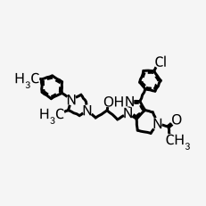 CC(=O)N1CCc2c(c(-c3ccc(Cl)cc3)nn2CC(O)CN2CCN(c3ccc(C)cc3)C(C)C2)C1